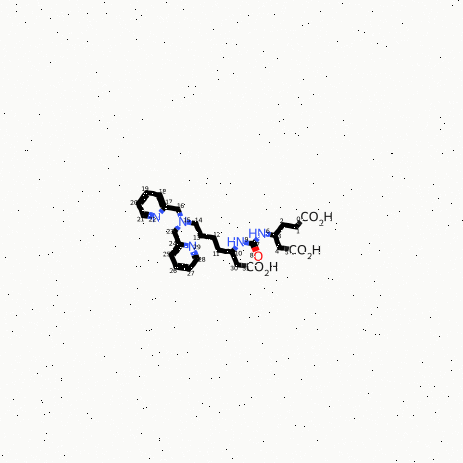 O=C(O)CCC(CC(=O)O)NC(=O)NC(CCCCN(Cc1ccccn1)Cc1ccccn1)CC(=O)O